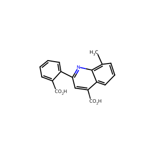 Cc1cccc2c(C(=O)O)cc(-c3ccccc3C(=O)O)nc12